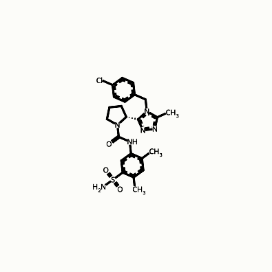 Cc1cc(C)c(S(N)(=O)=O)cc1NC(=O)N1CCC[C@@H]1c1nnc(C)n1Cc1ccc(Cl)cc1